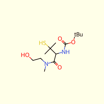 CN(CCO)C(=O)C(NC(=O)OC(C)(C)C)C(C)(C)S